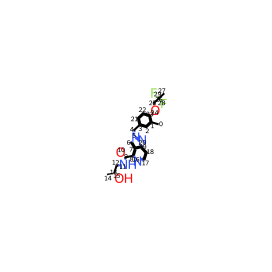 Cc1cc(Cn2cc3c(C(=O)NC[C@H](C)O)nccc3n2)ccc1OCC(C)(F)F